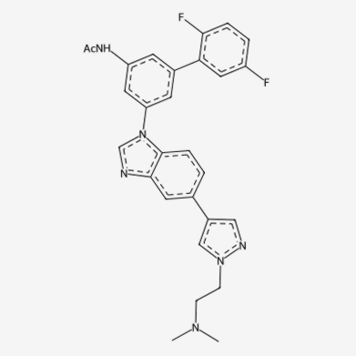 CC(=O)Nc1cc(-c2cc(F)ccc2F)cc(-n2cnc3cc(-c4cnn(CCN(C)C)c4)ccc32)c1